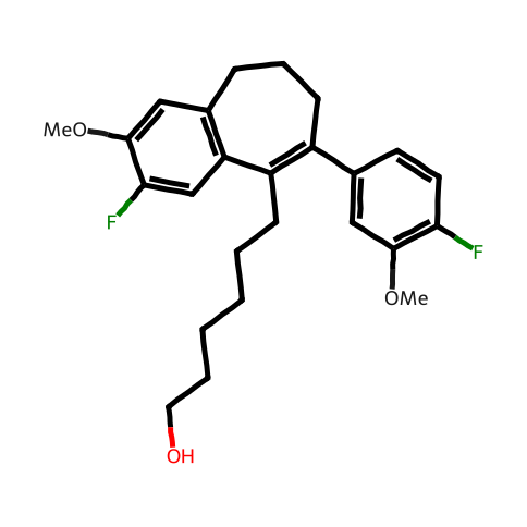 COc1cc(C2=C(CCCCCCO)c3cc(F)c(OC)cc3CCC2)ccc1F